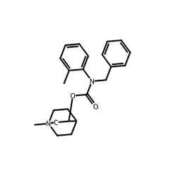 Cc1ccccc1N(Cc1ccccc1)C(=O)OC1C[N+]2(C)CCC1CC2